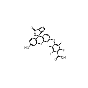 O=C1OC2(c3ccc(O)cc3Oc3cc(Oc4c(F)c(F)c(C(=O)O)c(F)c4F)ccc32)c2ccccc21